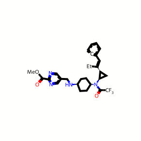 CC/C(=C\c1ccccc1)[C@@H]1C[C@H]1N(C(=O)C(F)(F)F)[C@H]1CC[C@H](NCc2cnc(C(=O)OC)nc2)CC1